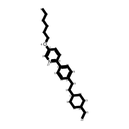 CCCCCCOc1ccc(-c2ccc(CCC3CCC(CC)CC3)cc2)nc1